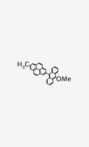 COc1c2ccccc2c(-c2cc3ccc4cc(C)cc5ccc(c2)c3c45)c2ccccc12